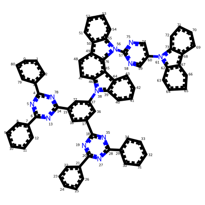 c1ccc(-c2nc(-c3ccccc3)nc(-c3cc(-c4nc(-c5ccccc5)nc(-c5ccccc5)n4)cc(-n4c5ccccc5c5c4ccc4c6ccccc6n(-c6ncc(-n7c8ccccc8c8ccccc87)cn6)c45)c3)n2)cc1